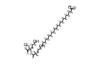 CC(C)[N+](C)(C)CCCO.CC(C)[N+](C)(C)CCCO.CCCCCCCCCCCCCCCCCCCCCC(=O)[O-].[Cl-]